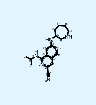 CC(C)Nc1nc(C#N)cc2cnc(NC3CCCCNC3)cc12